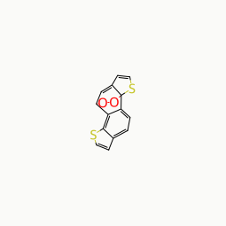 C1=CC2=CC3OOC2(S1)c1ccc2ccsc2c13